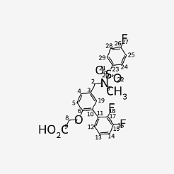 CN(Cc1ccc(OCC(=O)O)c(-c2cccc(F)c2F)c1)S(=O)(=O)c1ccc(F)cc1